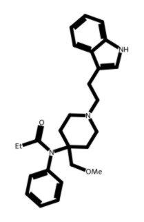 CCC(=O)N(c1ccccc1)C1(COC)CCN(CCc2c[nH]c3ccccc23)CC1